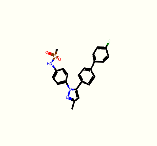 Cc1cc(-c2ccc(-c3ccc(F)cc3)cc2)n(-c2ccc(NS(C)(=O)=O)cc2)n1